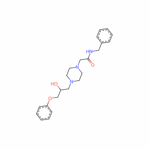 O=C(CN1CCN(CC(O)COc2ccccc2)CC1)NCc1ccccc1